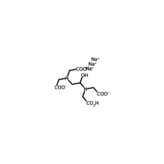 O=C([O-])CN(CC(=O)[O-])CC(O)N(CC(=O)[O-])CC(=O)O.[Na+].[Na+].[Na+]